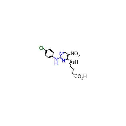 O=C(O)CCC[AsH]c1nc(Nc2ccc(Cl)cc2)ncc1[N+](=O)[O-]